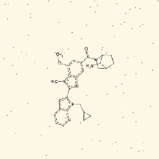 COc1cc(C(=O)N2CC3CCC2C3N)cc2nc(-c3cc4cccnc4n3CC3CC3)n(C)c12